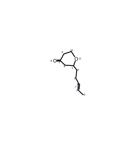 C/C=C/CCC1CC(=O)CCO1